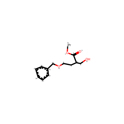 CC(C)OC(=O)C(CO)CCOCc1ccccc1